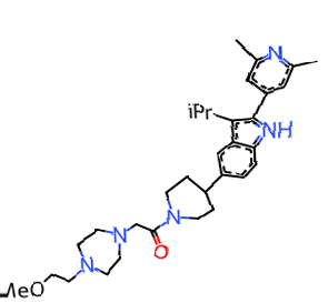 COCCN1CCN(CC(=O)N2CCC(c3ccc4[nH]c(-c5cc(C)nc(C)c5)c(C(C)C)c4c3)CC2)CC1